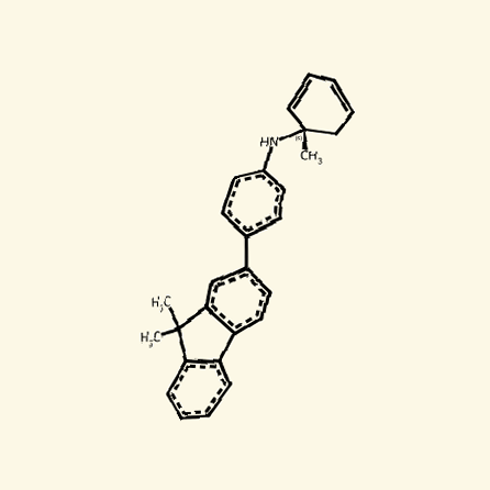 CC1(C)c2ccccc2-c2ccc(-c3ccc(N[C@]4(C)C=CC=CC4)cc3)cc21